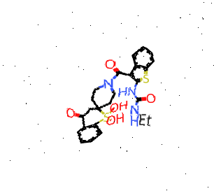 CCNC(=O)Nc1sc2ccccc2c1C(=O)N1CCC2(CC1)CC(=O)c1ccccc1S2(O)O